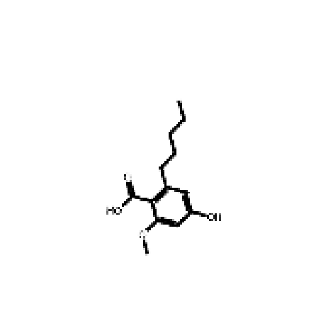 CCCCCc1[c]c(O)cc(OC)c1C(=O)O